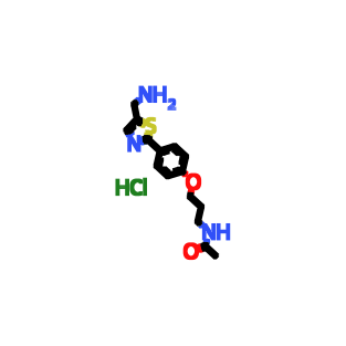 CC(=O)NCCCOc1ccc(-c2ncc(CN)s2)cc1.Cl